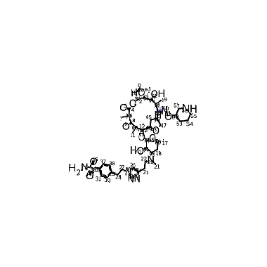 CC[C@H]1OC(=O)[C@H](C)C(=O)[C@H](C)[C@@H](O[C@@H]2O[C@H](C)C[C@H](N(C)CCc3cn(CCc4ccc(S(N)(=O)=O)cc4)nn3)[C@H]2O)[C@@]2(C)C[C@@H](CO2)/C(=N\O[C@@H]2CCCNC2)[C@H](C)[C@@H](O)[C@]1(C)O